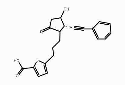 O=C(O)c1ccc(CCCC2C(=O)CC(O)[C@@H]2C#Cc2ccccc2)s1